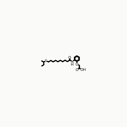 CCC(C)SCCCCCCCCCC(=O)Nc1ccccc1OCC(=O)O